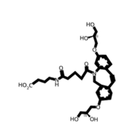 O=C(O)CCCNC(=O)CCCC(=O)N1Cc2cc(OC[C@@H](O)CO)ccc2C#Cc2ccc(OC[C@@H](O)CO)cc21